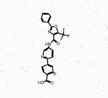 O=C(O)c1ccc(-c2ccc(NC(=O)c3nc(-c4ccccc4)oc3C(F)(F)F)cn2)cc1F